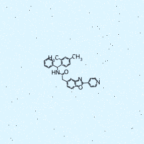 Cc1ccc(C(NC(=O)Cc2ccc3oc(-c4ccncc4)nc3c2)c2ccccc2)c(C)c1